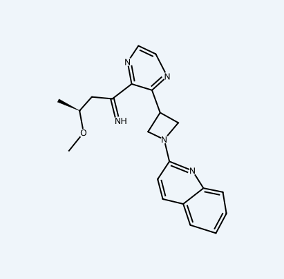 CO[C@@H](C)CC(=N)c1nccnc1C1CN(c2ccc3ccccc3n2)C1